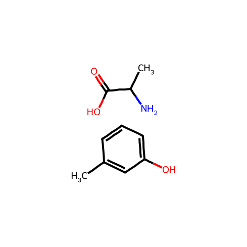 CC(N)C(=O)O.Cc1cccc(O)c1